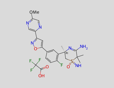 COc1cnc(-c2cc(-c3ccc(F)c([C@]4(C)CS(=N)(=O)C(C)(C)C(N)=N4)c3)on2)cn1.O=C(O)C(F)(F)F